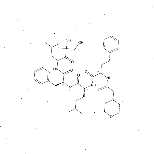 CC(C)CC[C@H](NC(=O)[C@H](CCc1ccccc1)NC(=O)CN1CCOCC1)C(=O)N[C@@H](Cc1ccccc1)C(=O)NC(CC(C)C)C(=O)C(C)(O)CO